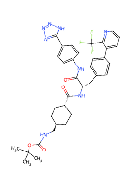 CC(C)(C)OC(=O)NC[C@H]1CC[C@H](C(=O)N[C@@H](Cc2ccc(-c3cccnc3C(F)(F)F)cc2)C(=O)Nc2ccc(-c3nnn[nH]3)cc2)CC1